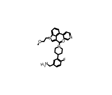 COCCn1cc(C(=O)N2CCC(c3cc(CN)ccc3F)CC2)c2c(-c3ccncc3)cccc21